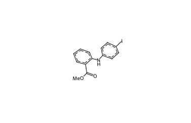 COC(=O)c1ccccc1Nc1ccc(I)cc1